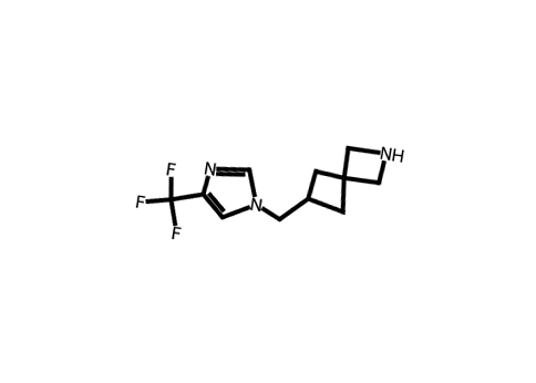 FC(F)(F)c1cn(CC2CC3(CNC3)C2)cn1